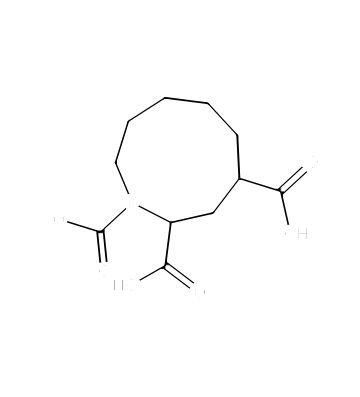 O=C(O)C1CCCCCP(C(=O)O)C(C(=O)O)C1